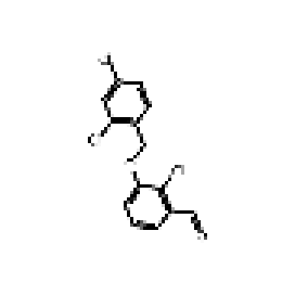 O=Cc1cccc(OCc2ccc(Cl)cc2Cl)c1Cl